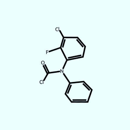 O=C(Cl)N(c1ccccc1)c1cccc(Cl)c1F